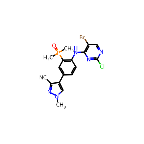 Cn1cc(-c2ccc(Nc3nc(Cl)ncc3Br)c(P(C)(C)=O)c2)c(C#N)n1